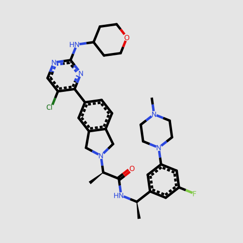 C[C@H](C(=O)N[C@H](C)c1cc(F)cc(N2CCN(C)CC2)c1)N1Cc2ccc(-c3nc(NC4CCOCC4)ncc3Cl)cc2C1